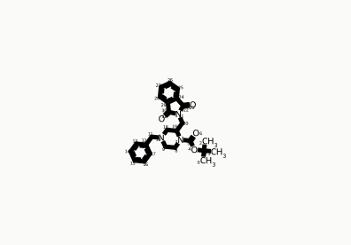 CC(C)(C)OC(=O)N1CCN(Cc2ccccc2)CC1CN1C(=O)c2ccccc2C1=O